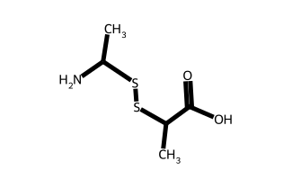 CC(N)SSC(C)C(=O)O